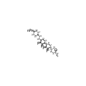 C=CC1CCC(c2ccc(-c3ccc(CCC4CCC(CCC)CC4)c(F)c3F)c(F)c2F)CO1